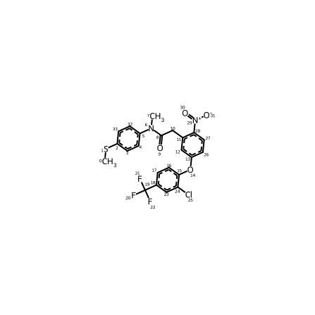 CSc1ccc(N(C)C(=O)Cc2cc(Oc3ccc(C(F)(F)F)cc3Cl)ccc2[N+](=O)[O-])cc1